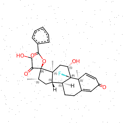 C[C@H]1C[C@H]2[C@@H]3CCC4=CC(=O)C=C[C@]4(C)[C@@]3(F)[C@@H](O)C[C@]2(C)[C@@]1(OC(=O)c1ccccc1)C(=O)CO